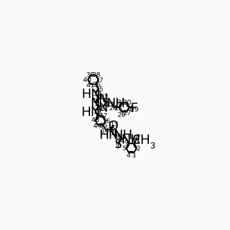 Cc1ccccc1NC(=S)NNC(=O)Cc1ccc(Nc2nc(NCc3ccc(F)cc3)nc(NCC3CCCCC3)n2)cc1